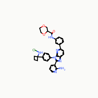 Nc1ncccc1-c1nc2ccc(-c3cccc(NC(=O)C4COCCO4)c3)nc2n1-c1ccc(C2(NCl)CCC2)cc1